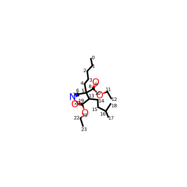 CCCCCC(C#N)(C(=O)OCC)C(CCC(C)C)C(=O)OCC